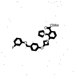 COC(=O)c1cccc(N2CC(Oc3ccc(COc4cccc(F)c4)cc3)C2)c1-n1cccc1